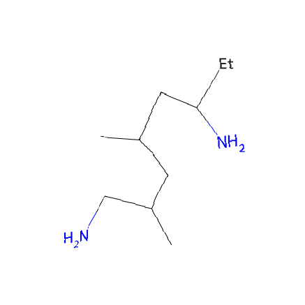 CCC(N)CC(C)CC(C)CN